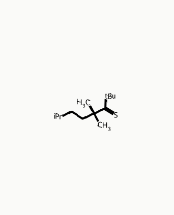 CC(C)CCC(C)(C)C(=S)C(C)(C)C